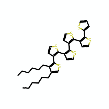 CCCCCCc1csc(-c2ccsc2-c2ccsc2-c2ccsc2-c2ccsc2-c2cccs2)c1CCCCCC